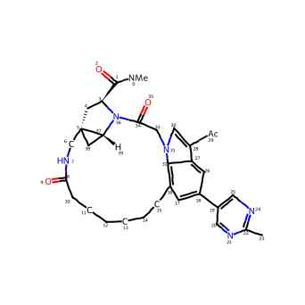 CNC(=O)[C@@H]1C[C@]23CNC(=O)CCCCCCc4cc(-c5cnc(C)nc5)cc5c(C(C)=O)cn(c45)CC(=O)N1[C@@H]2C3